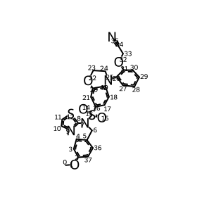 COc1ccc(CN(c2nccs2)S(=O)(=O)c2ccc3c(c2)OCCN3c2ccccc2OCC#N)cc1